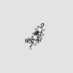 C#C[C@]1(O)CC[C@H]2[C@@H]3CCC4=CC(=O)CC[C@@H]4[C@H]3CCC21CCC